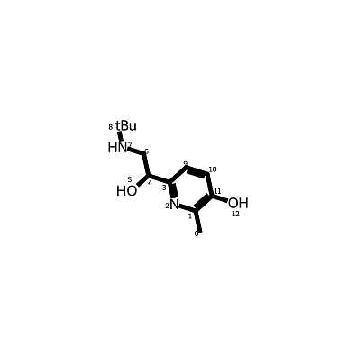 Cc1nc(C(O)CNC(C)(C)C)ccc1O